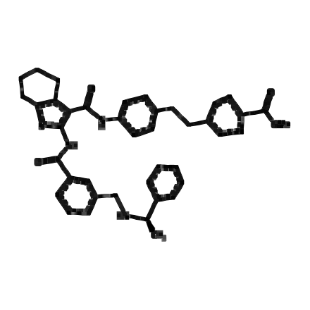 COC(=O)c1ccc(CCc2ccc(NC(=O)c3c(NC(=O)c4cccc(CN[C@H](C)c5ccccc5)c4)sc4c3CCCC4)cc2)cc1